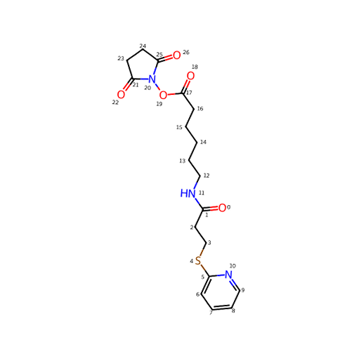 O=C(CCSc1ccccn1)NCCCCCC(=O)ON1C(=O)CCC1=O